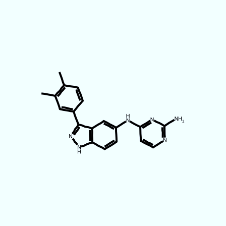 Cc1ccc(-c2n[nH]c3ccc(Nc4ccnc(N)n4)cc23)cc1C